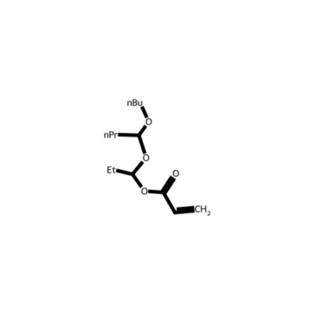 C=CC(=O)OC(CC)OC(CCC)OCCCC